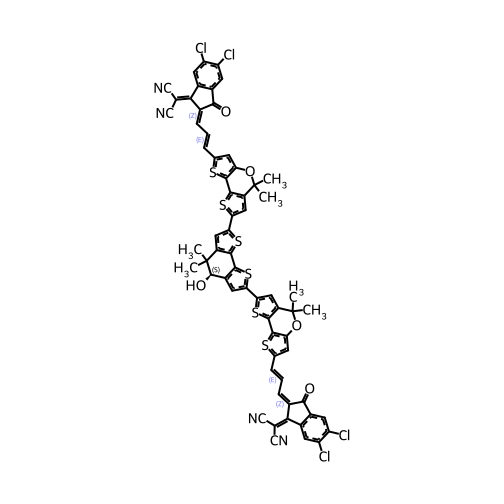 CC1(C)Oc2cc(/C=C/C=C3\C(=O)c4cc(Cl)c(Cl)cc4C3=C(C#N)C#N)sc2-c2sc(-c3cc4c(s3)-c3sc(-c5cc6c(s5)-c5sc(/C=C/C=C7\C(=O)c8cc(Cl)c(Cl)cc8C7=C(C#N)C#N)cc5OC6(C)C)cc3C(C)(C)[C@@H]4O)cc21